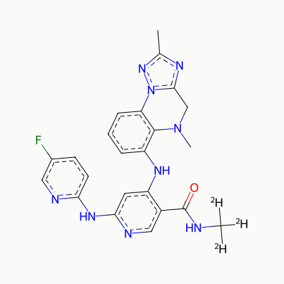 [2H]C([2H])([2H])NC(=O)c1cnc(Nc2ccc(F)cn2)cc1Nc1cccc2c1N(C)Cc1nc(C)nn1-2